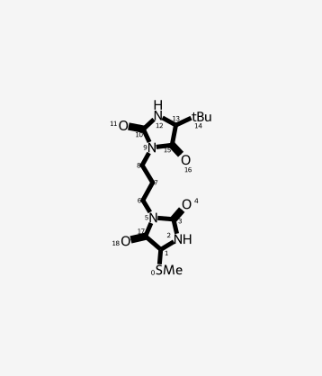 CSC1NC(=O)N(CCCN2C(=O)NC(C(C)(C)C)C2=O)C1=O